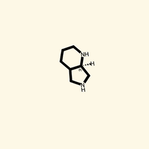 C1CN[C@H]2CNCC2C1